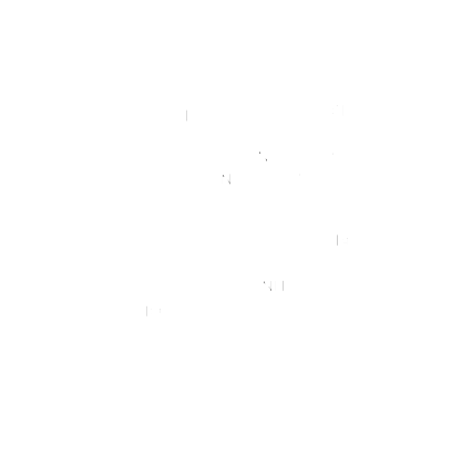 O=c1c(Br)c(NC(CO)Cc2ccccc2)cnn1-c1c(Cl)cccc1Cl